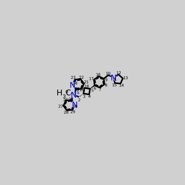 C[N+](C[C@H]1C[C@H](c2ccc(CN3CCCC3)cc2)C1)(c1ccccn1)c1ccccn1